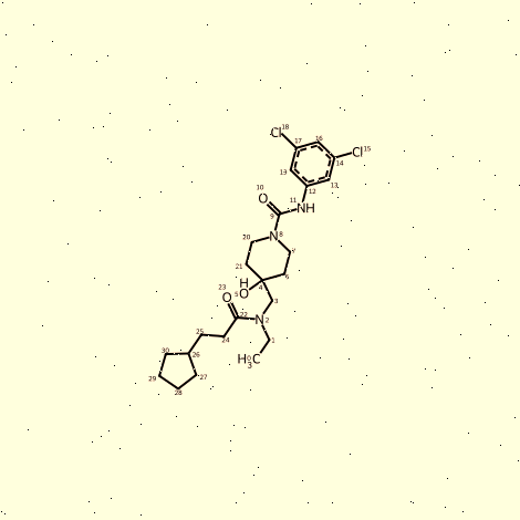 CCN(CC1(O)CCN(C(=O)Nc2cc(Cl)cc(Cl)c2)CC1)C(=O)CCC1CCCC1